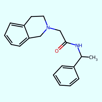 CC(NC(=O)CN1CCc2ccccc2C1)c1ccccc1